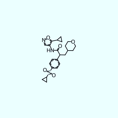 O=C(Nc1cnoc1C1CC1)C(CC1CCOCC1)c1ccc(S(=O)(=O)C2CC2)cc1